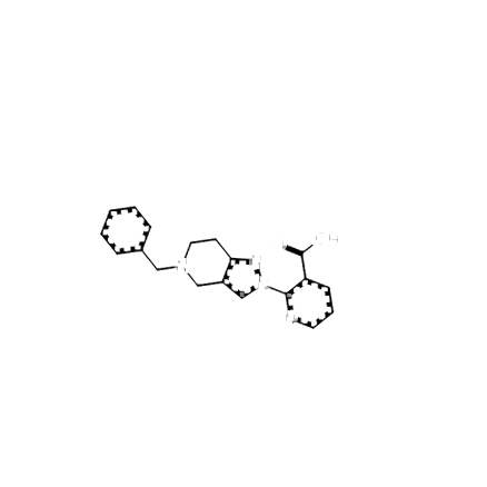 O=C(O)c1cccnc1-n1cc2c(n1)CCN(Cc1ccccc1)C2